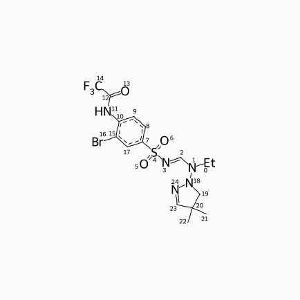 CCN(C=NS(=O)(=O)c1ccc(NC(=O)C(F)(F)F)c(Br)c1)N1CC(C)(C)C=N1